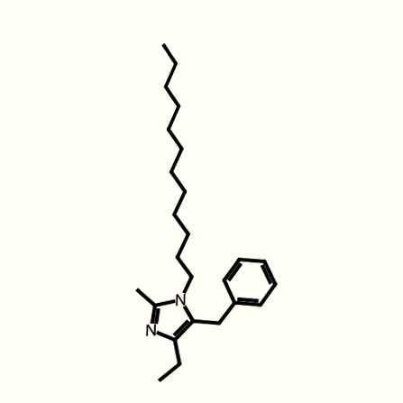 CCCCCCCCCCCCn1c(C)nc(CC)c1Cc1ccccc1